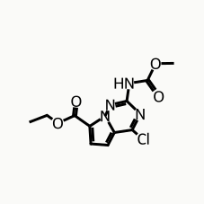 CCOC(=O)c1ccc2c(Cl)nc(NC(=O)OC)nn12